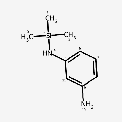 C[Si](C)(C)Nc1cccc(N)c1